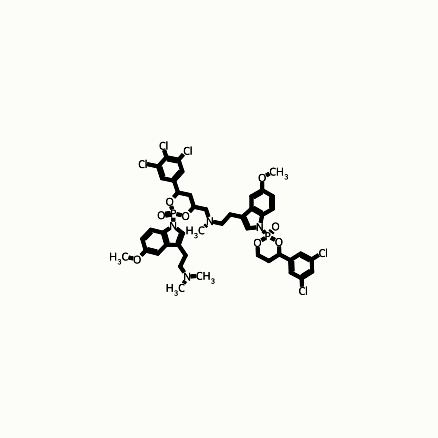 COc1ccc2c(c1)c(CCN(C)CC1CC(c3cc(Cl)c(Cl)c(Cl)c3)OP(=O)(n3cc(CCN(C)C)c4cc(OC)ccc43)O1)cn2P1(=O)OCCC(c2cc(Cl)cc(Cl)c2)O1